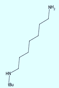 CC(C)(C)NCCCCCCCN